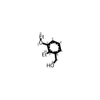 CCOc1cccc(CO)c1CC